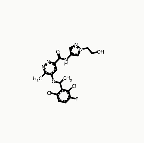 Cc1nnc(C(=O)Nc2cnn(CCO)c2)cc1OC(C)c1c(Cl)ccc(F)c1Cl